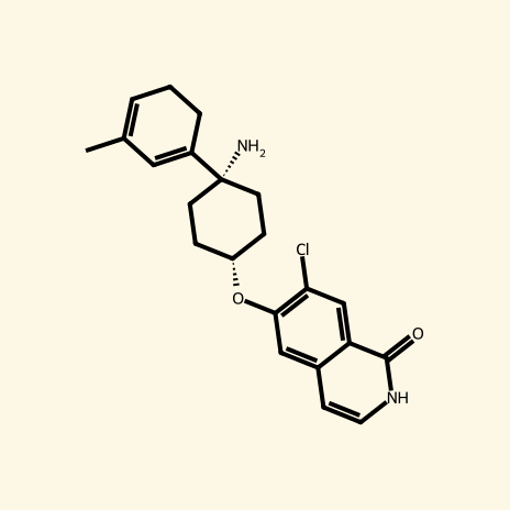 CC1=CCCC([C@]2(N)CC[C@@H](Oc3cc4cc[nH]c(=O)c4cc3Cl)CC2)=C1